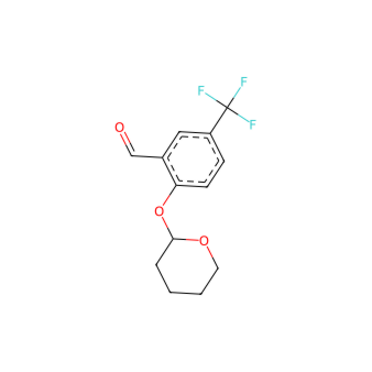 O=Cc1cc(C(F)(F)F)ccc1OC1CCCCO1